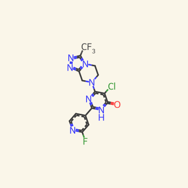 O=c1[nH]c(-c2ccnc(F)c2)nc(N2CCn3c(nnc3C(F)(F)F)C2)c1Cl